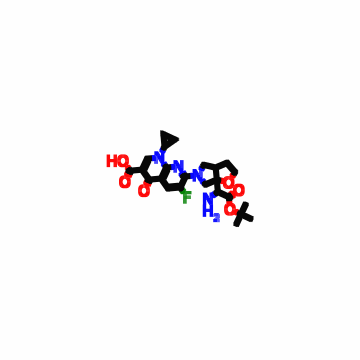 CC(C)(C)OC(=O)C(N)C12CN(c3nc4c(cc3F)c(=O)c(C(=O)O)cn4C3CC3)CC1CCO2